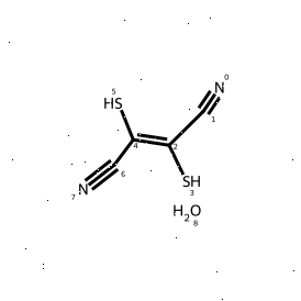 N#CC(S)=C(S)C#N.O